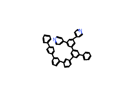 c1ccc(-c2ccc(-c3cccc(-c4cccc(-c5cc(-c6ccccc6)cc(-c6cc(-c7ccncc7)cc(-c7ccncc7)c6)c5)c4)c3)cc2)cc1